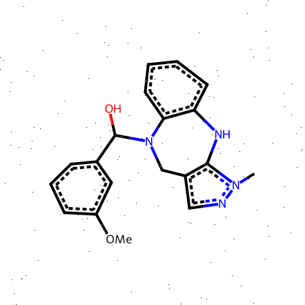 COc1cccc(C(O)N2Cc3cnn(C)c3Nc3ccccc32)c1